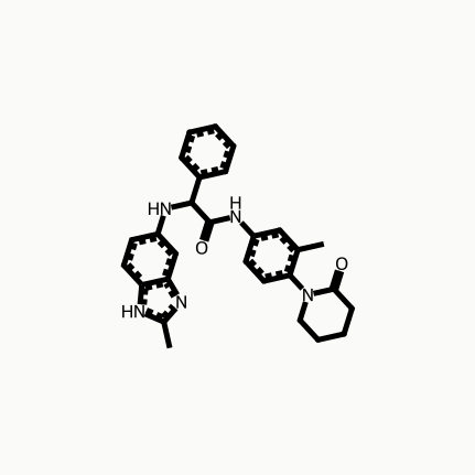 Cc1nc2cc(NC(C(=O)Nc3ccc(N4CCCCC4=O)c(C)c3)c3ccccc3)ccc2[nH]1